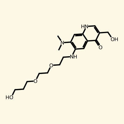 CN(C)c1cc2[nH]cc(CO)c(=O)c2cc1NCCOCCOCCCO